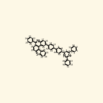 c1ccc(-c2cc(-c3ccc(-c4ccc(-c5ccc6nc(-c7ccccc7)c7ccc8sc9ccccc9c8c7c6c5)cc4)cc3)nc(-c3ccccc3)n2)cc1